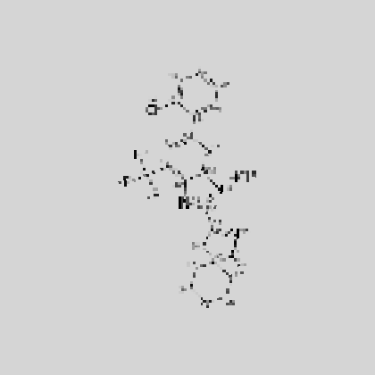 Cl.FC(F)(F)c1cc(-c2ccccc2Cl)cc2nc(C3=NOC4(CCCCC4)C3)[nH]c12